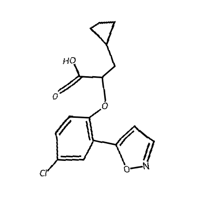 O=C(O)C(CC1CC1)Oc1ccc(Cl)cc1-c1ccno1